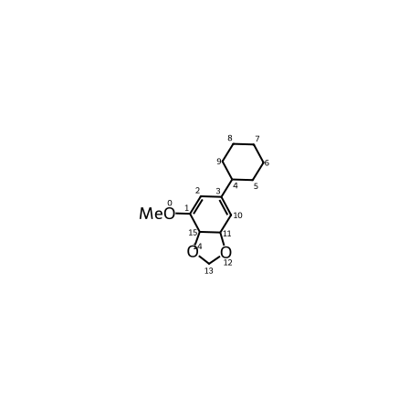 COC1=CC(C2CCCCC2)=CC2OCOC12